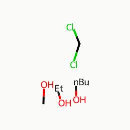 CCCCO.CCO.CO.ClCCl